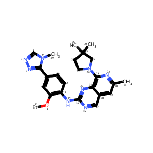 CCOc1cc(-c2nncn2C)ccc1Nc1ncc2cc(C)nc(N3CCC(C)(C#N)C3)c2n1